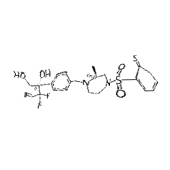 C[C@H]1CN(S(=O)(=O)C2=CC=CCC2=S)CCN1c1ccc([C@](O)(CO)C(F)(F)F)cc1